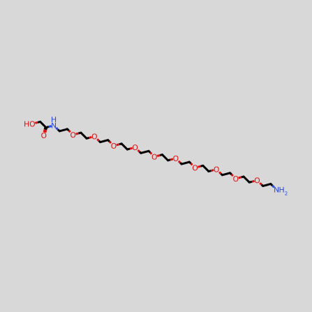 NCCOCCOCCOCCOCCOCCOCCOCCOCCOCCOCCNC(=O)CO